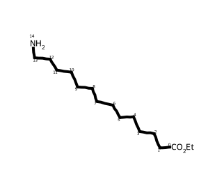 CCOC(=O)CCCCCCCCCCCCCN